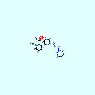 CCC(O)(c1ccc(OCCN2CCCCC2)cc1)c1ccccc1OC